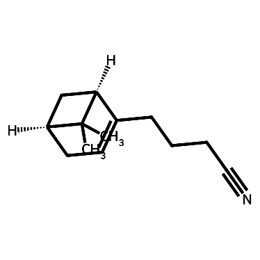 CC1(C)[C@H]2CC=C(CCCC#N)[C@@H]1C2